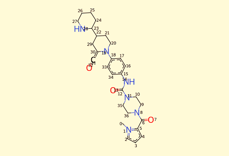 Cn1cccc1C(=O)N1CCN(C(=O)Nc2ccc(N3CCC(C4CCCCN4)CC3=C=O)cc2)CC1